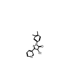 CCC1C(=O)N(c2ccc(C)c(C)c2)N=C1c1cccnc1